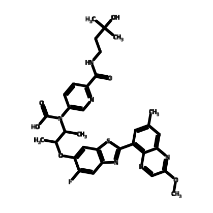 COc1cnc2c(-c3nc4cc(F)c(OC(C)C(C)N(C(=O)O)c5ccc(C(=O)NCCC(C)(C)O)nc5)cc4s3)cc(C)cc2n1